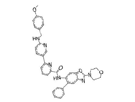 COc1ccc(CNc2ccc(-c3cccc(C(=O)Nc4cc5oc(N6CCOCC6)nc5cc4-c4ccccc4)n3)cn2)cc1